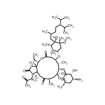 CC[C@H]1OC(=O)[C@H](C)[C@@H](O[C@H]2C[C@@](C)(OC)[C@@](O)(CN(C)CCN(C(C)C)C(C)C)[C@H](C)O2)[C@H](C)[C@@H](O[C@@H]2O[C@H](C)C[C@H](N)[C@H]2O)[C@@](C)(OC)C[C@@H](C)C(=O)[C@H](C)[C@H]2N(CC(C)=O)C(=O)O[C@]12C